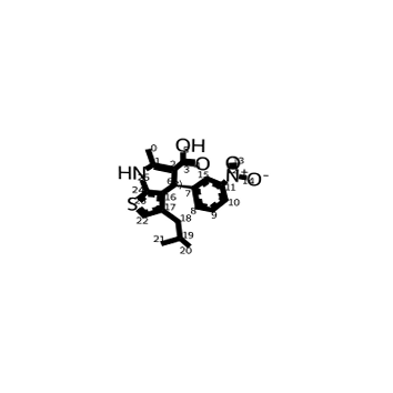 CC1=C(C(=O)O)[C@@H](c2cccc([N+](=O)[O-])c2)c2c(CC(C)C)csc2N1